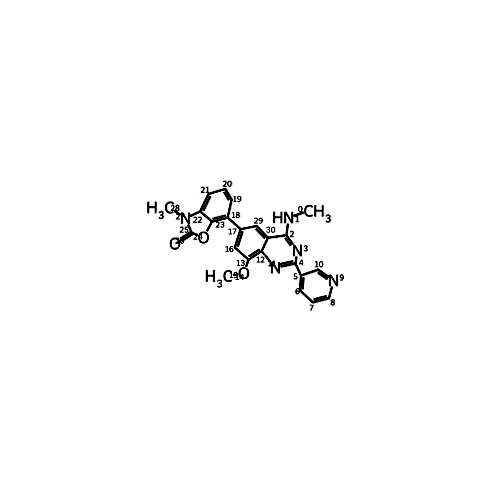 CNc1nc(-c2cccnc2)nc2c(OC)cc(-c3cccc4c3oc(=O)n4C)cc12